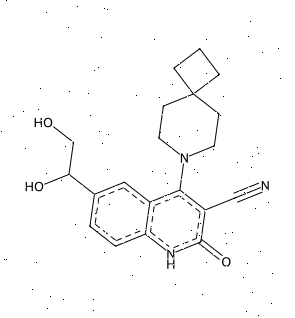 N#Cc1c(N2CCC3(CCC3)CC2)c2cc(C(O)CO)ccc2[nH]c1=O